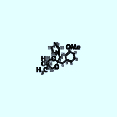 COc1cccc(CC2(Cn3ccnc3)OCC(C)(C)CO2)c1